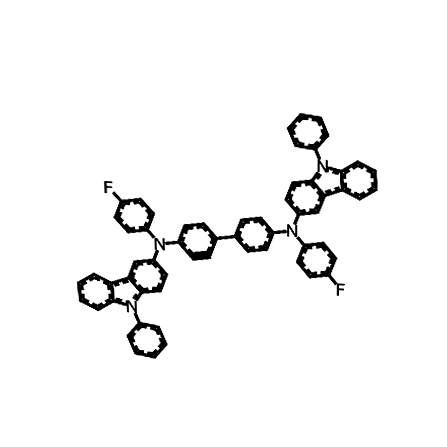 Fc1ccc(N(c2c#cc(-c3ccc(N(c4ccc(F)cc4)c4ccc5c(c4)c4ccccc4n5-c4ccccc4)cc3)cc2)c2ccc3c(c2)c2ccccc2n3-c2ccccc2)cc1